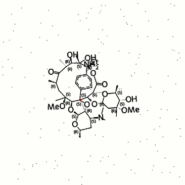 CC[C@H]1OC(=O)[C@H](C)[C@@H](O[C@H]2C[C@@](C)(OC)[C@@H](O)[C@H](C)O2)[C@H](C)[C@@H](O[C@@H]2O[C@H](C)C[C@H](N(C)C)[C@H]2OCc2ccc(N)cc2)[C@@](C)(OC)C[C@@H](C)C(=O)[C@H](C)[C@@H](O)[C@]1(C)O